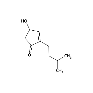 CC(C)CCC1=CC(O)CC1=O